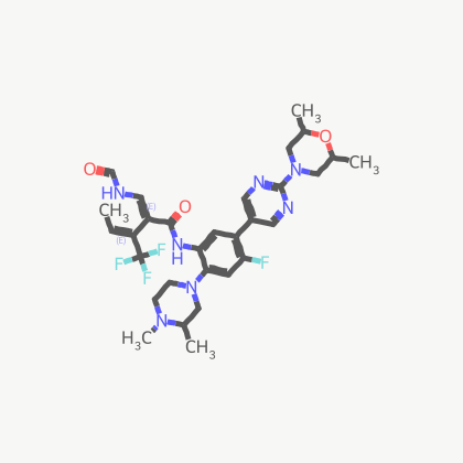 C/C=C(\C(=C/NC=O)C(=O)Nc1cc(-c2cnc(N3CC(C)OC(C)C3)nc2)c(F)cc1N1CCN(C)C(C)C1)C(F)(F)F